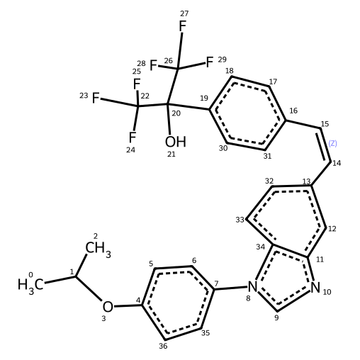 CC(C)Oc1ccc(-n2cnc3cc(/C=C\c4ccc(C(O)(C(F)(F)F)C(F)(F)F)cc4)ccc32)cc1